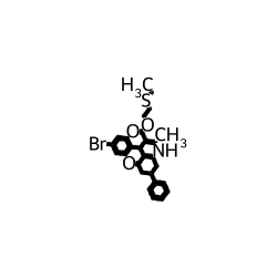 CCSCCOC(=O)C1=C(C)NC2=C(C(=O)CC(c3ccccc3)C2)C1c1ccc(Br)cc1